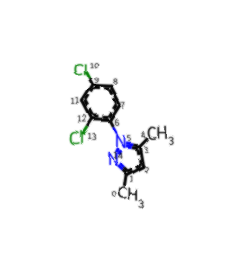 Cc1cc(C)n(-c2ccc(Cl)cc2Cl)n1